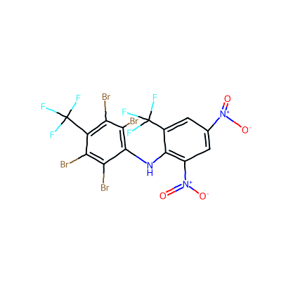 O=[N+]([O-])c1cc([N+](=O)[O-])c(Nc2c(Br)c(Br)c(C(F)(F)F)c(Br)c2Br)c(C(F)(F)F)c1